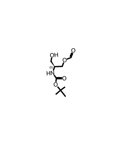 CC(C)(C)OC(=O)N[C@@H](CO)COC=O